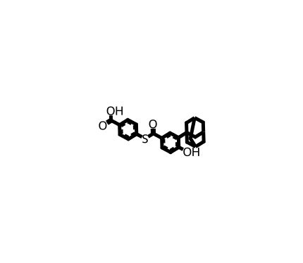 O=C(O)c1ccc(SC(=O)c2ccc(O)c(C34CC5CC(CC(C5)C3)C4)c2)cc1